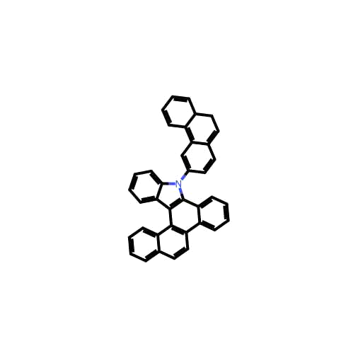 C1=CC2=c3cc(-n4c5ccccc5c5c6c7ccccc7ccc6c6ccccc6c54)ccc3=CCC2C=C1